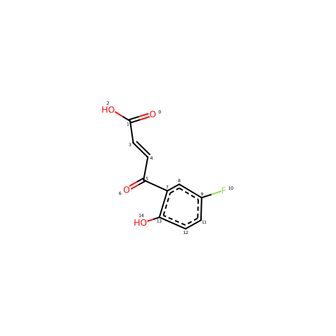 O=C(O)C=CC(=O)c1cc(F)ccc1O